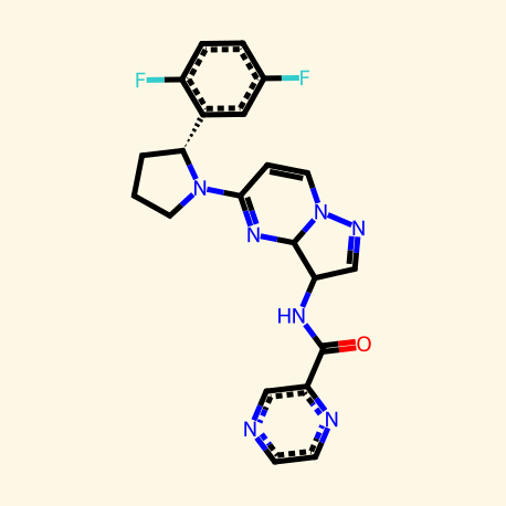 O=C(NC1C=NN2C=CC(N3CCC[C@@H]3c3cc(F)ccc3F)=NC12)c1cnccn1